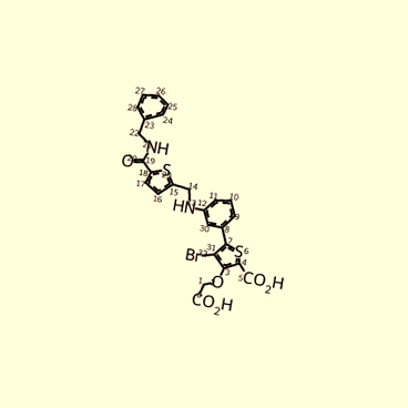 O=C(O)COc1c(C(=O)O)sc(-c2cccc(NCc3ccc(C(=O)NCc4ccccc4)s3)c2)c1Br